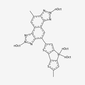 CCCCCCCCn1nc2c(C)cc3c(cc(-c4cc5c(s4)-c4sc(C)cc4[Si]5(CCCCCCCC)CCCCCCCC)c4nn(CCCCCCCC)nc43)c2n1